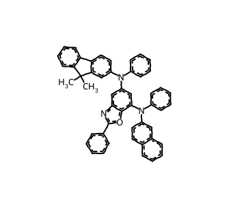 CC1(C)c2ccccc2-c2ccc(N(c3ccccc3)c3cc(N(c4ccccc4)c4ccc5ccccc5c4)c4oc(-c5ccccc5)nc4c3)cc21